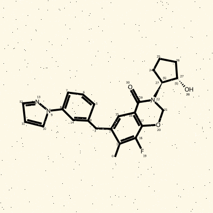 Cc1c(Cc2cccc(-n3cccn3)c2)cc2c(c1F)OCN([C@H]1CCC[C@@H]1O)C2=O